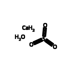 O.O=S(=O)=O.[CaH2]